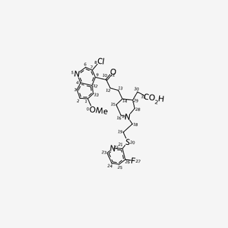 COc1ccc2ncc(Cl)c(C(=O)CCC3CCN(CCSc4ncccc4F)CC3CC(=O)O)c2c1